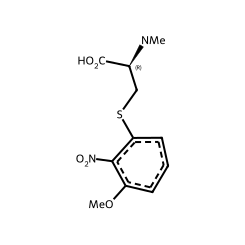 CN[C@@H](CSc1cccc(OC)c1[N+](=O)[O-])C(=O)O